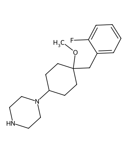 COC1(Cc2ccccc2F)CCC(N2CCNCC2)CC1